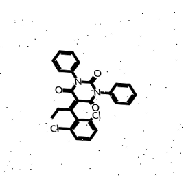 CCC(=C1C(=O)N(c2ccccc2)C(=O)N(c2ccccc2)C1=O)c1c(Cl)cccc1Cl